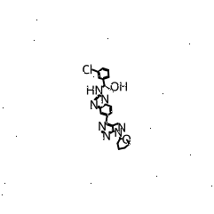 OC[C@@H](Nc1cnc2cc(-c3ncnc4c3cnn4C3CCCCO3)ccc2n1)c1cccc(Cl)c1